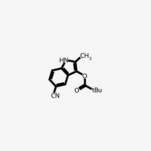 Cc1[nH]c2ccc(C#N)cc2c1OC(=O)C(C)(C)C